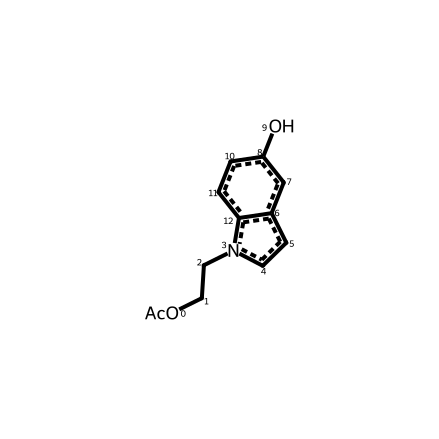 CC(=O)OCCn1ccc2cc(O)ccc21